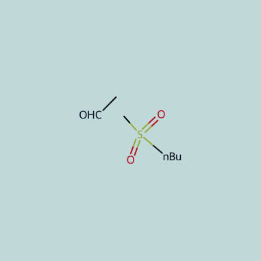 CC=O.CCCCS(C)(=O)=O